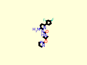 Nc1ccc(-c2ccc(F)cc2F)nc1NC(=O)N1CC(Oc2ncccn2)C1